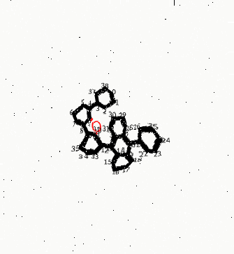 C1=CCC(c2cccc3c2oc2c(-c4c5ccccc5c(-c5ccccc5)c5ccccc45)cccc23)C=C1